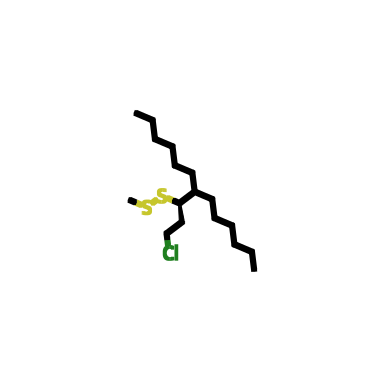 CCCCCCC(CCCCCC)[C@@H](CCCl)SSC